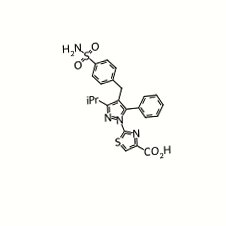 CC(C)c1nn(-c2nc(C(=O)O)cs2)c(-c2ccccc2)c1Cc1ccc(S(N)(=O)=O)cc1